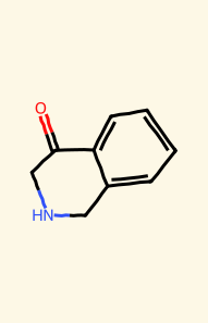 O=C1CNCc2ccccc21